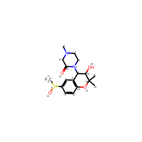 CN1CCN(C2c3cc([S+]([O-])C(F)(F)F)ccc3OC(C)(C)C2O)C(=O)C1